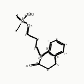 CC(C)(C)[Si](C)(C)OCCCN1C(=O)CCc2ccccc21